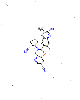 Cc1cc2cc(C(=O)N(Cc3ccc(C#N)cn3)[C@@H]3CCC[C@H]3C#N)c(F)cc2nc1N